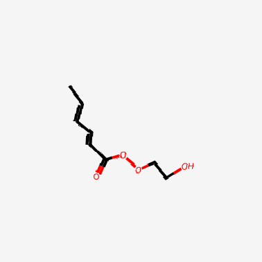 C/C=C/C=C/C(=O)OOCCO